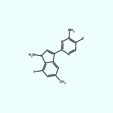 Cc1cc(F)c2c(c1)c(-c1ncc(F)c(N)n1)cn2N